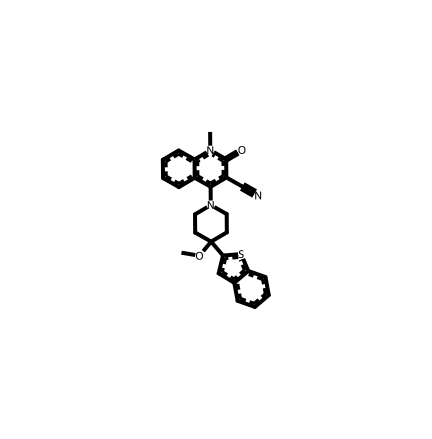 COC1(c2cc3ccccc3s2)CCN(c2c(C#N)c(=O)n(C)c3ccccc23)CC1